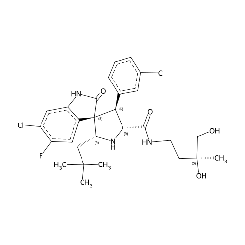 CC(C)(C)C[C@H]1N[C@@H](C(=O)NCC[C@](C)(O)CO)[C@H](c2cccc(Cl)c2)[C@@]12C(=O)Nc1cc(Cl)c(F)cc12